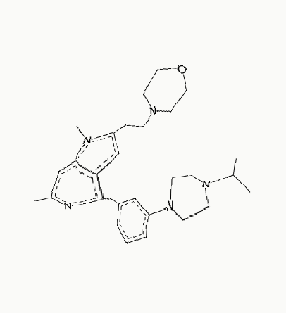 Cc1cc2c(cc(CCN3CCOCC3)n2C)c(-c2cccc(N3CCN(C(C)C)CC3)c2)n1